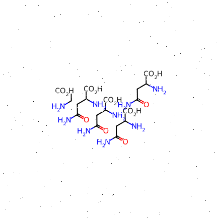 NC(=O)CC(N)C(=O)O.NC(=O)CC(N)C(=O)O.NC(=O)CC(N)C(=O)O.NC(=O)CC(N)C(=O)O.NCC(=O)O